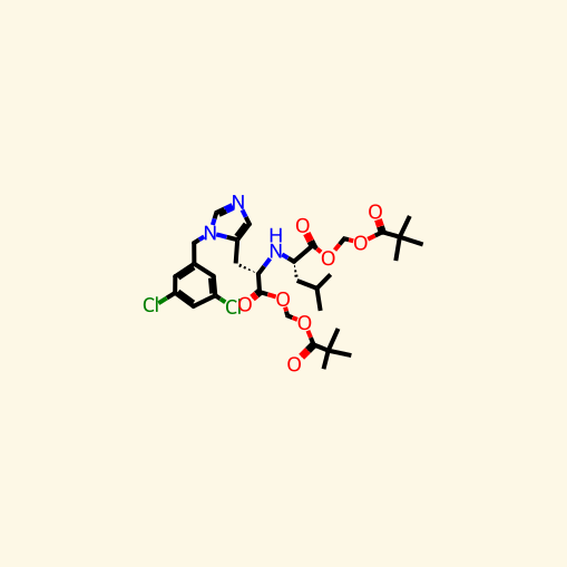 CC(C)C[C@H](N[C@@H](Cc1cncn1Cc1cc(Cl)cc(Cl)c1)C(=O)OCOC(=O)C(C)(C)C)C(=O)OCOC(=O)C(C)(C)C